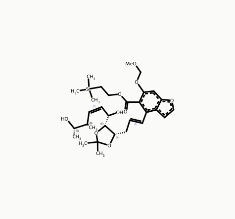 COCOc1cc2occc2c(/C=C/C[C@@H]2OC(C)(C)O[C@@H]2C(O)/C=C\[C@@H](C)[C@H](C)O)c1C(=O)OCC[Si](C)(C)C